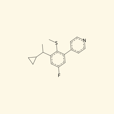 CSc1c(-c2ccncc2)cc(F)cc1C(C)C1CC1